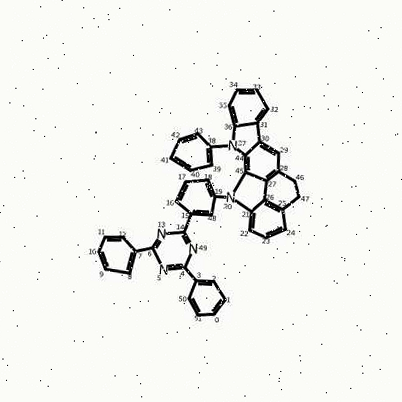 c1ccc(-c2nc(-c3ccccc3)nc(-c3cccc(-n4c5cccc6c5c5c(cc7c8ccccc8n(-c8ccccc8)c7c54)CC6)c3)n2)cc1